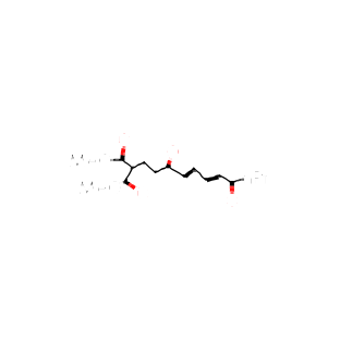 CCCC(=O)C=CC=CC(=O)CCC(C(=O)OC)C(=O)OC